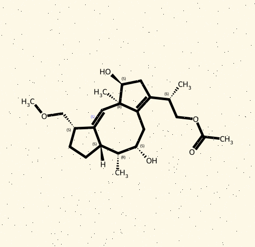 COC[C@H]1CC[C@@H]2/C1=C\[C@]1(C)C(=C([C@H](C)COC(C)=O)C[C@@H]1O)C[C@H](O)[C@@H]2C